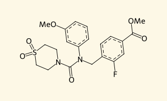 COC(=O)c1ccc(CN(C(=O)N2CCS(=O)(=O)CC2)c2cccc(OC)c2)c(F)c1